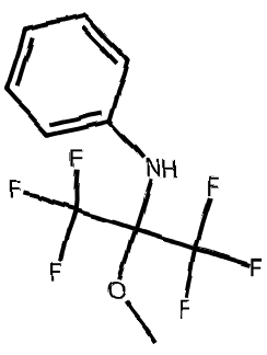 COC(Nc1ccccc1)(C(F)(F)F)C(F)(F)F